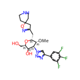 CO[C@@H]1[C@@H](n2cc(-c3cc(F)c(F)c(F)c3)nn2)[C@@H](O)[C@@H](CO)O[C@@H]1CC1=NOC2(CCNCC2)C1